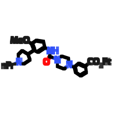 CCCN1CCC(c2cc(NC(=O)N3CCN(c4cccc(C(=O)OCC)c4)CC3)ccc2OC)CC1